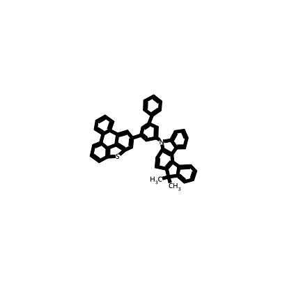 CC1(C)c2ccccc2-c2c1ccc1c2c2ccccc2n1-c1cc(-c2ccccc2)cc(-c2cc3sc4cccc5c6ccccc6c(c2)c3c45)c1